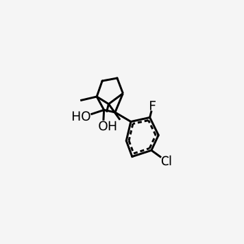 CC1(C)C2CCC1(C)C(O)(O)C2c1ccc(Cl)cc1F